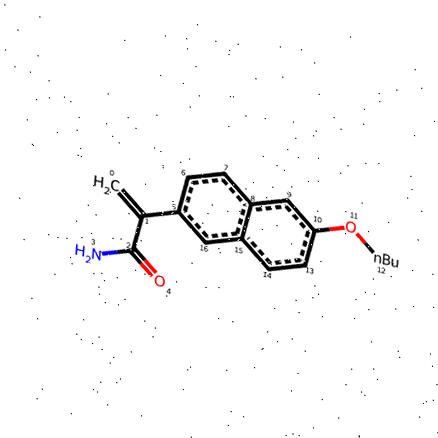 C=C(C(N)=O)c1ccc2cc(OCCCC)ccc2c1